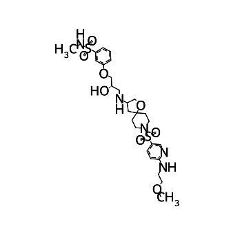 CNS(=O)(=O)c1cccc(OC[C@@H](O)CNC2COC3(CCN(S(=O)(=O)c4ccc(NCCOC)nc4)CC3)C2)c1